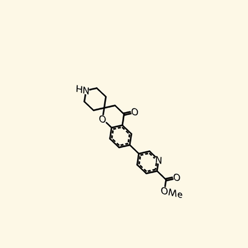 COC(=O)c1ccc(-c2ccc3c(c2)C(=O)CC2(CCNCC2)O3)cn1